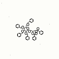 O=C(OCC(COC1OC(COCc2ccccc2)C(OCc2ccccc2)C(OCc2ccccc2)C1OCc1ccccc1)OC(=O)c1ccccc1)c1ccccc1